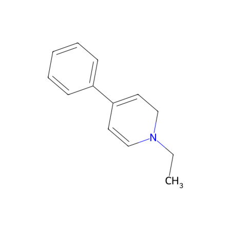 CCN1C=CC(c2ccccc2)=CC1